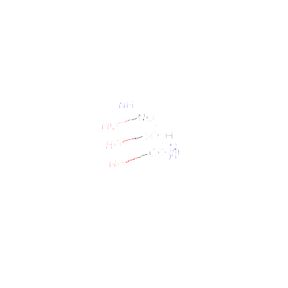 N.N.O=C(O)O.O=S(=O)(O)O.O=[N+]([O-])O